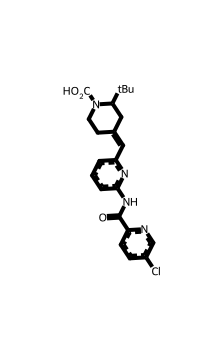 CC(C)(C)C1CC(=Cc2cccc(NC(=O)c3ccc(Cl)cn3)n2)CCN1C(=O)O